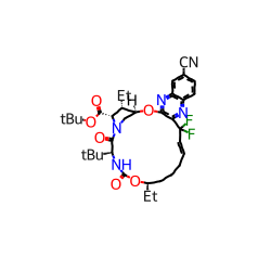 CC[C@@H]1CCC/C=C/C(F)(F)c2nc3ccc(C#N)cc3nc2O[C@H]2CN(C(=O)[C@H](C(C)(C)C)NC(=O)O1)[C@H](C(=O)OC(C)(C)C)[C@@H]2CC